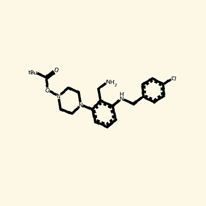 CC(C)(C)C(=O)ON1CCN(c2cccc(NCc3ccc(Cl)cc3)c2CN)CC1